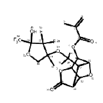 C=C(C)C(=O)OC1C2OC(=O)C3C2OC1C3C(C)(C)OC1(C)COC(O)(C(F)(F)F)C1(F)F